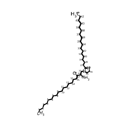 CCCCCCCCCCCCCCCCCC(=O)C(N)CN1CCN=C1CCCCCCCCCCCCCCCCC